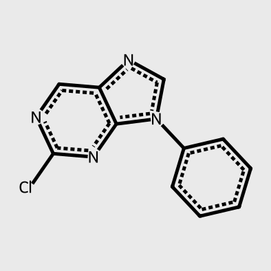 Clc1ncc2ncn(-c3ccccc3)c2n1